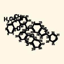 C[Si]1(C)c2ccccc2Oc2c(N(c3ccc4sc(-c5ccccc5)cc4c3)c3cccc4c3Oc3ccccc3S4)cccc21